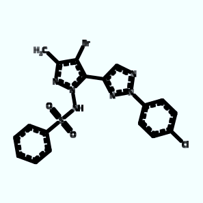 Cc1nn(NS(=O)(=O)c2ccccc2)c(-c2cnn(-c3ccc(Cl)cc3)n2)c1Br